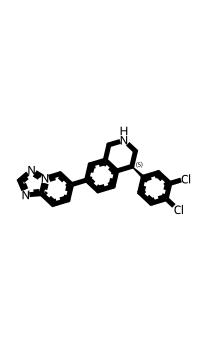 Clc1ccc([C@@H]2CNCc3cc(-c4ccc5ncnn5c4)ccc32)cc1Cl